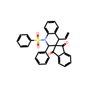 C=CC1c2ccccc2N(S(=O)(=O)c2ccccc2)C(c2ccccc2)C12C(=O)c1ccccc1C2=O